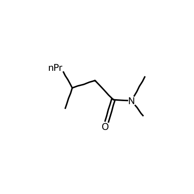 CCCC(C)CC(=O)N(C)C